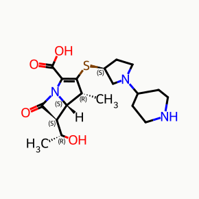 C[C@@H](O)[C@H]1C(=O)N2C(C(=O)O)=C(S[C@H]3CCN(C4CCNCC4)C3)[C@H](C)[C@H]12